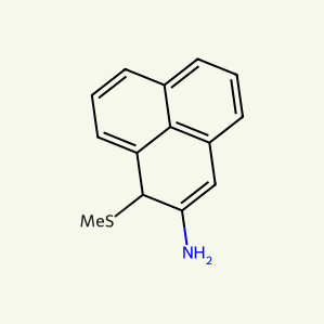 CSC1C(N)=Cc2cccc3cccc1c23